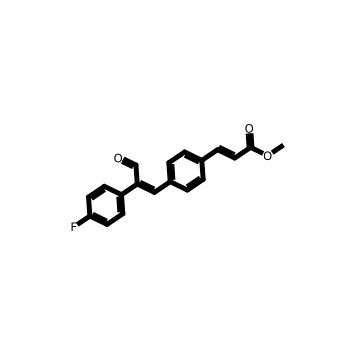 COC(=O)C=Cc1ccc(C=C(C=O)c2ccc(F)cc2)cc1